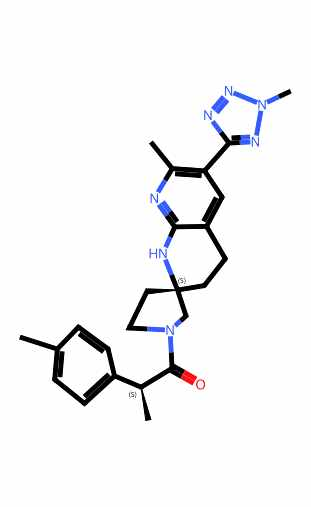 Cc1ccc([C@H](C)C(=O)N2CC[C@@]3(CCc4cc(-c5nnn(C)n5)c(C)nc4N3)C2)cc1